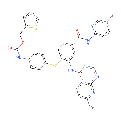 CC(C)c1ccc2c(Nc3cc(C(=O)Nc4ccc(Br)cn4)ccc3Sc3ccc(NC(=O)OCc4cccs4)cc3)ncnc2n1